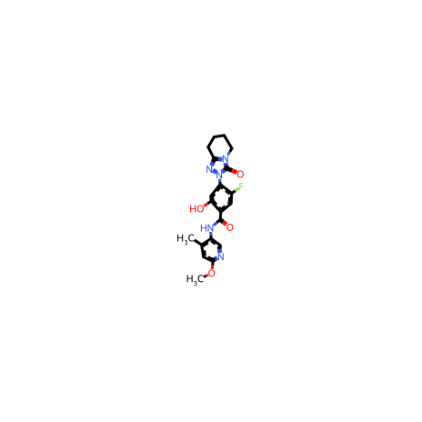 COc1cc(C)c(NC(=O)c2cc(F)c(-n3nc4n(c3=O)CCCC4)cc2O)cn1